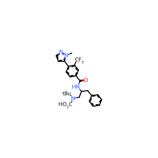 Cn1nccc1-c1ccc(C(=O)NC(Cc2ccccc2)CN(C(=O)O)C(C)(C)C)cc1C(F)(F)F